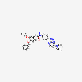 COc1cc(CC(=O)N[C@H]2CC[C@@H](Nc3nccc(N(C)C)n3)CC2)ccc1OCc1ccccc1